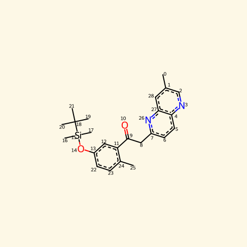 Cc1cnc2ccc(CC(=O)c3cc(O[Si](C)(C)C(C)(C)C)ccc3C)nc2c1